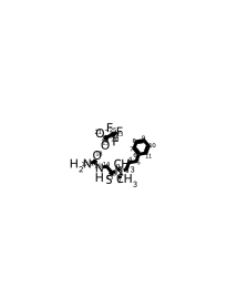 C[N+](C)(CCCc1ccccc1)C(=S)CNC(N)=O.O=C([O-])C(F)(F)F